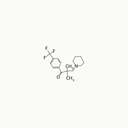 CC(C)(CN1CCCCC1)C(=O)c1ccc(C(F)(F)F)cc1